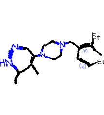 C=C1NN=CC(N2CCN(CC(/C=C\CC)=C(/C)CC)CC2)=C1C